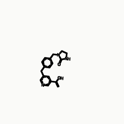 C=C(O)c1cncc(Cc2ccc(CN3CCNC3=O)cc2)c1